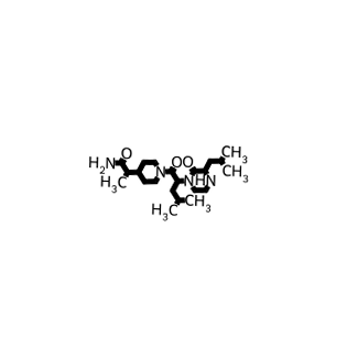 CC(C)CC1NCCN(C(CC(C)C)C(=O)N2CCC(C(C)C(N)=O)CC2)C1=O